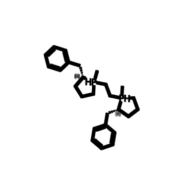 C[PH]1(CC[PH]2(C)CCC[C@@H]2Cc2ccccc2)CCC[C@@H]1Cc1ccccc1